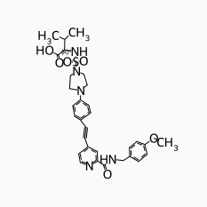 COc1ccc(CNC(=O)c2cc(C#Cc3ccc(N4CCN(S(=O)(=O)N[C@@H](C(=O)O)C(C)C)CC4)cc3)ccn2)cc1